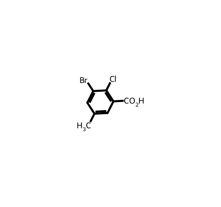 Cc1cc(Br)c(Cl)c(C(=O)O)c1